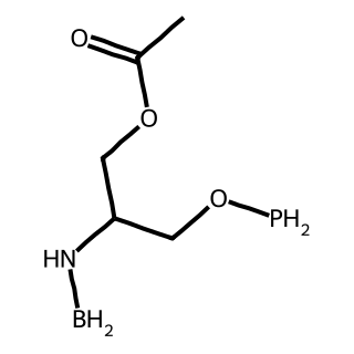 BNC(COP)COC(C)=O